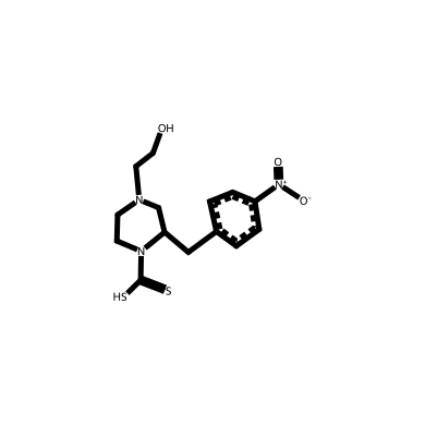 O=[N+]([O-])c1ccc(CC2CN(CCO)CCN2C(=S)S)cc1